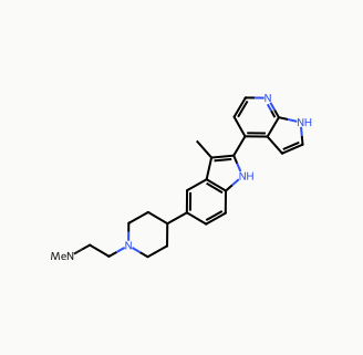 CNCCN1CCC(c2ccc3[nH]c(-c4ccnc5[nH]ccc45)c(C)c3c2)CC1